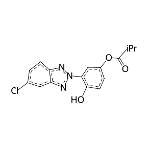 CC(C)C(=O)Oc1ccc(O)c(-n2nc3ccc(Cl)cc3n2)c1